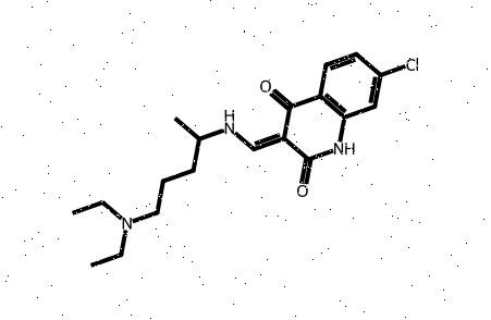 CCN(CC)CCCC(C)NC=C1C(=O)Nc2cc(Cl)ccc2C1=O